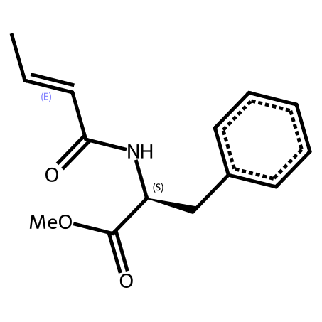 C/C=C/C(=O)N[C@@H](Cc1ccccc1)C(=O)OC